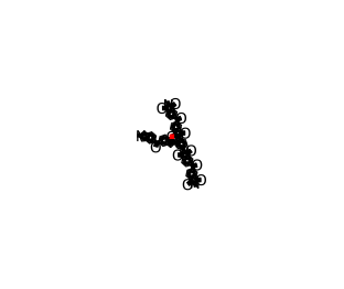 CN1Cc2ccc(C(=O)c3ccc4c(c3)CN(c3cc(N5C(=O)c6ccc(C(=O)c7ccc8c(c7)C(=O)N(C)C8=O)cc6C5=O)ccc3N3C(=O)c5ccc(C(=O)c6ccc7c(c6)C(=O)N(C)C7=O)cc5C3=O)C4)cc2C1